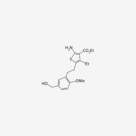 CCOC(=O)c1c(N)sc(CCc2cc(CO)ccc2OC)c1CC